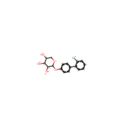 OC1COC(Oc2ccc(-c3ccccc3Cl)cc2)C(O)C1O